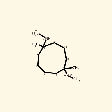 CNC1(C)CCCCC(C)(NC)CCC1